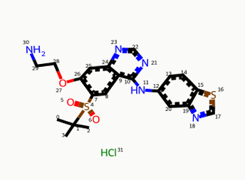 CC(C)(C)S(=O)(=O)c1cc2c(Nc3ccc4scnc4c3)ncnc2cc1OCCN.Cl